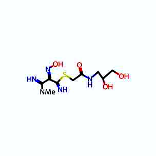 CNC(=N)/C(=N/O)C(=N)SCC(=O)NCC(O)CO